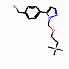 C[Si](C)(C)CCOCn1nccc1-c1ccc(CBr)cc1